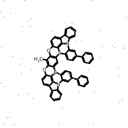 Cc1c2c(cc3c1Oc1ccc4c5ccccc5n5c4c1B3c1ccc(-c3ccccc3)cc1-5)B1c3ccc(-c4ccccc4)cc3-n3c4ccccc4c4ccc(c1c43)O2